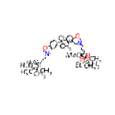 CCC1(C)O[Si](CCCN2COc3ccc(C(C)(C)c4ccc5c(c4)CN(CCC[Si]4(C)C(C)(C)C4(C)C)CO5)cc3C2)(OC)OC1(C)C